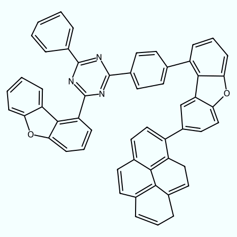 C1=Cc2ccc3ccc(-c4ccc5oc6cccc(-c7ccc(-c8nc(-c9ccccc9)nc(-c9cccc%10oc%11ccccc%11c9%10)n8)cc7)c6c5c4)c4c3c2C(=CC4)C1